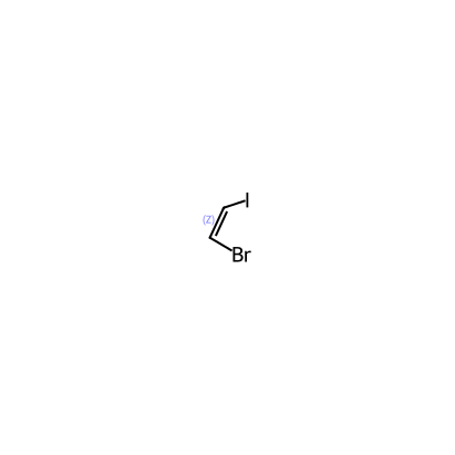 Br/C=C\I